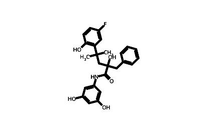 CC(C)(CC(O)(Cc1ccccc1)C(=O)Nc1cc(O)cc(O)c1)c1cc(F)ccc1O